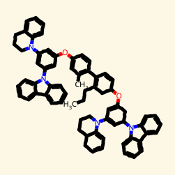 CCCC1=C(c2ccc(Oc3cc(N4CCCc5ccccc54)cc(-n4c5ccccc5c5ccccc54)c3)cc2C)C=CC(OC2=CC(N3CCCC4CC=CC=C43)=CC(n3c4ccccc4c4ccccc43)C2)C1